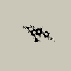 N[C@H]1CCN(c2c(F)cc3c(=O)c(OC(=O)O)cn(C4CC4)c3c2F)C1